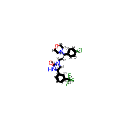 O=C1NC(c2cccc(C(F)(F)F)c2)CN1CC[C@@H](c1ccc(Cl)cc1)N1CCOCC1